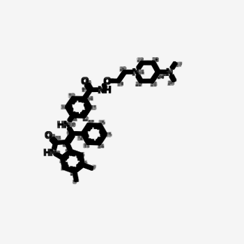 Cc1cc2c(cc1C)/C(=C(/Nc1ccc(C(=O)NOCCN3CCC(N(C)C)CC3)cc1)c1ccccc1)C(=O)N2